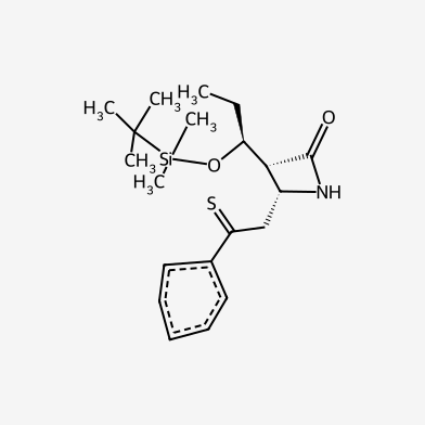 CC[C@H](O[Si](C)(C)C(C)(C)C)[C@@H]1C(=O)N[C@@H]1CC(=S)c1ccccc1